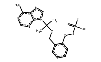 CC(C)(OCc1ccccc1OOP(=O)(O)Cl)n1cnc2c(N)ncnc21